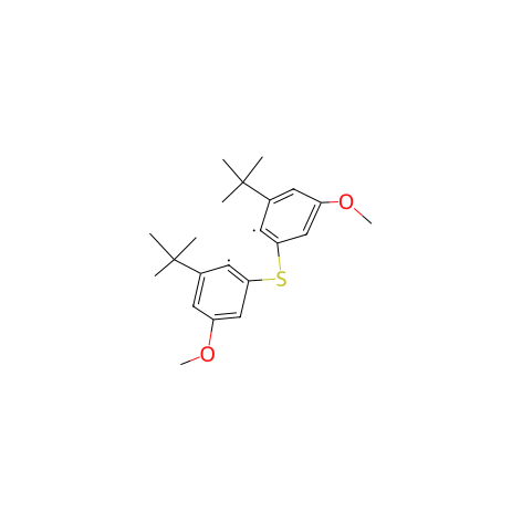 COc1cc(Sc2[c]c(C(C)(C)C)cc(OC)c2)[c]c(C(C)(C)C)c1